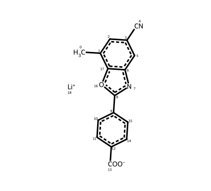 Cc1cc(C#N)cc2nc(-c3ccc(C(=O)[O-])cc3)oc12.[Li+]